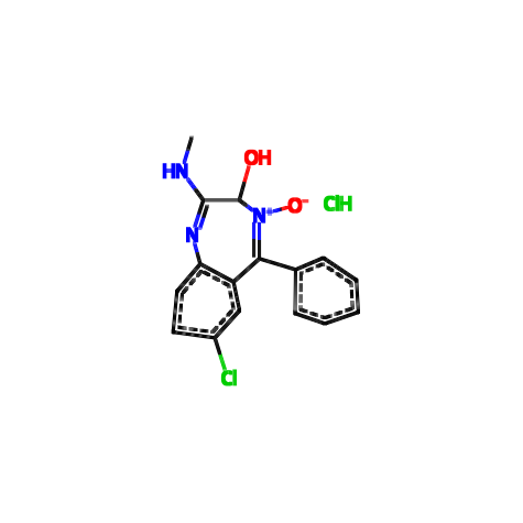 CNC1=Nc2ccc(Cl)cc2C(c2ccccc2)=[N+]([O-])C1O.Cl